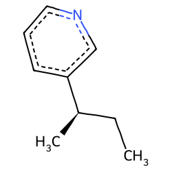 CC[C@@H](C)c1cccnc1